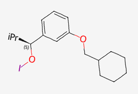 CC(C)[C@H](OI)c1cccc(OCC2CCCCC2)c1